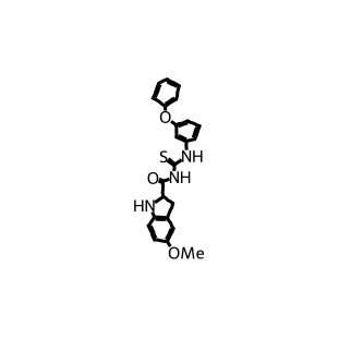 COc1ccc2c(c1)CC(C(=O)NC(=S)Nc1cccc(Oc3ccccc3)c1)N2